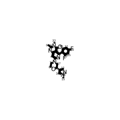 Cc1nc2cc(N3CCO[C@H](c4cnn(C)c4)C3)nc(-c3ccc(F)cc3F)c2c(=O)n1C